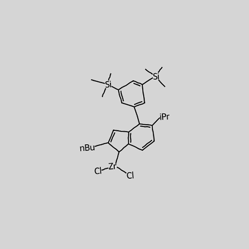 CCCCC1=Cc2c(ccc(C(C)C)c2-c2cc([Si](C)(C)C)cc([Si](C)(C)C)c2)[CH]1[Zr]([Cl])[Cl]